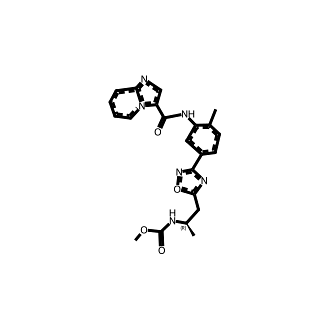 COC(=O)N[C@H](C)Cc1nc(-c2ccc(C)c(NC(=O)c3cnc4ccccn34)c2)no1